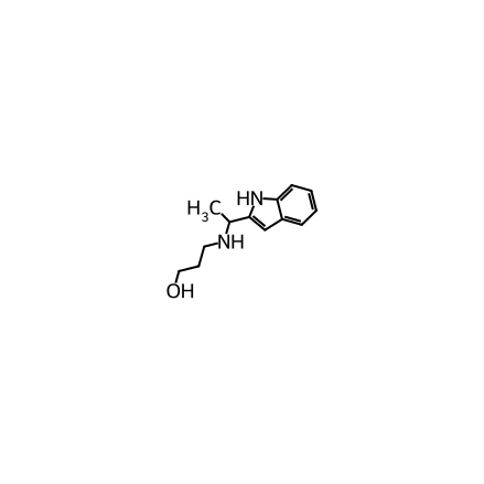 CC(NCCCO)c1cc2ccccc2[nH]1